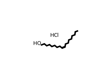 CCCCCCCC/C=C\CCCCCCCCO.Cl